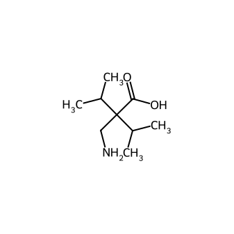 CC(C)C(CN)(C(=O)O)C(C)C